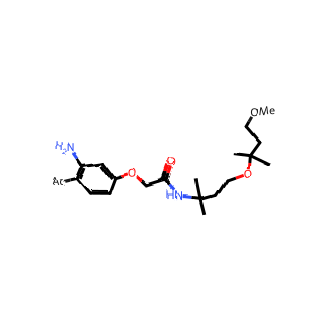 COCCC(C)(C)OCCC(C)(C)NC(=O)COc1ccc(C(C)=O)c(N)c1